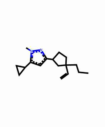 C=CC1(CCC)CCC(c2cc(C3CC3)n(C)n2)C1